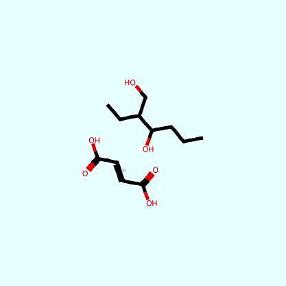 CCCC(O)C(CC)CO.O=C(O)/C=C/C(=O)O